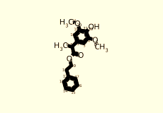 COc1cc(C(C)C(=O)OCCc2ccccc2)cc(OC)c1O